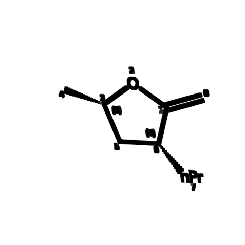 C=C1O[C@@H](C)C[C@H]1CCC